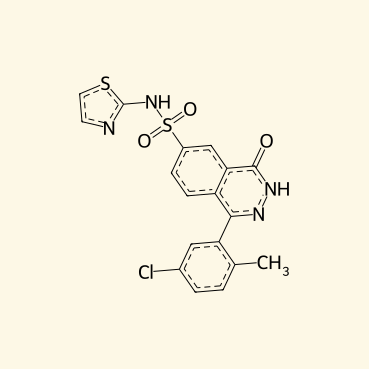 Cc1ccc(Cl)cc1-c1n[nH]c(=O)c2cc(S(=O)(=O)Nc3nccs3)ccc12